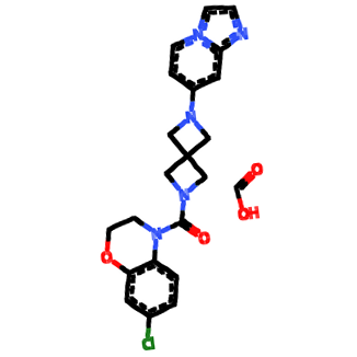 O=C(N1CC2(C1)CN(c1ccn3ccnc3c1)C2)N1CCOc2cc(Cl)ccc21.O=CO